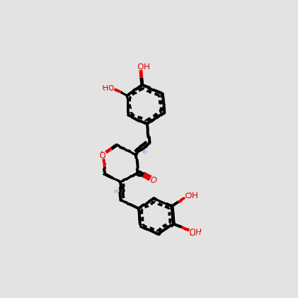 O=C1/C(=C\c2ccc(O)c(O)c2)COC/C1=C\c1ccc(O)c(O)c1